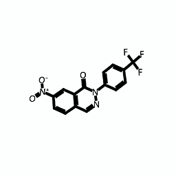 O=c1c2cc([N+](=O)[O-])ccc2cnn1-c1ccc(C(F)(F)F)cc1